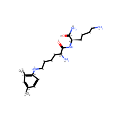 NCCCC[C@@H](NC(=O)[C@@H](N)CCCCNc1ccc([N+](=O)[O-])cc1[N+](=O)[O-])C(N)=O